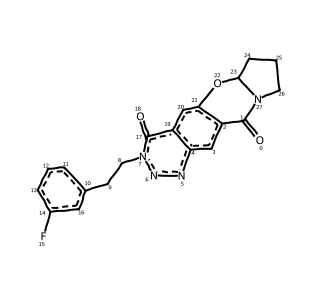 O=C1c2cc3nnn(CCc4cccc(F)c4)c(=O)c3cc2OC2CCCN12